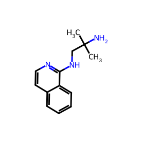 CC(C)(N)CNc1nccc2ccccc12